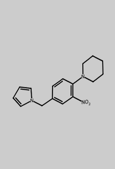 O=[N+]([O-])c1cc(Cn2cccc2)ccc1N1CCCCC1